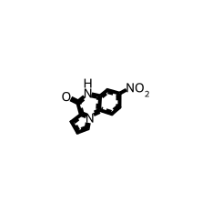 O=c1[nH]c2cc([N+](=O)[O-])ccc2n2cccc12